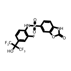 O=c1[nH]c2ccc(S(=O)(=O)Nc3ccc(C(O)(C(F)(F)F)C(F)(F)F)cc3F)cc2o1